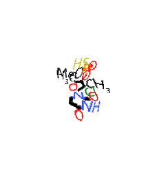 COP(=O)(S)O[C@@H]1[C@@H](C)O[C@@H](n2ccc(=O)[nH]c2=O)[C@]1(C)Cl